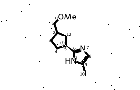 COCC1CC[C@H](c2ncc(I)[nH]2)C1